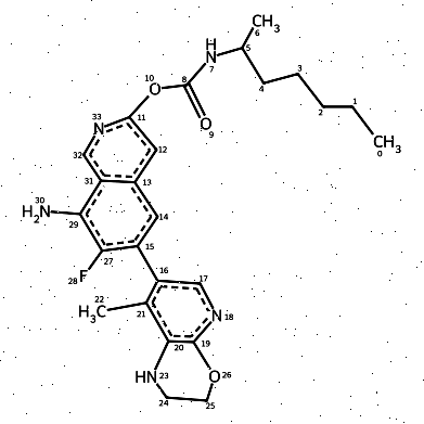 CCCCCC(C)NC(=O)Oc1cc2cc(-c3cnc4c(c3C)NCCO4)c(F)c(N)c2cn1